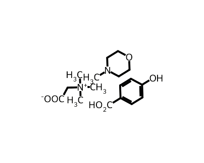 CN1CCOCC1.C[N+](C)(C)CC(=O)[O-].O=C(O)c1ccc(O)cc1